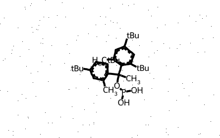 Cc1cc(C(C)(C)C)cc(C(C)(C)C)c1C(C)(OP(O)O)c1c(C)cc(C(C)(C)C)cc1C(C)(C)C